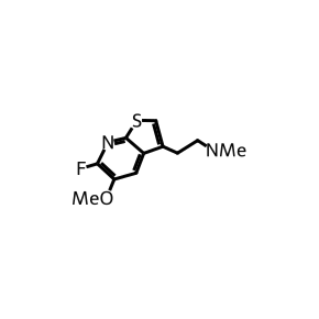 CNCCc1csc2nc(F)c(OC)cc12